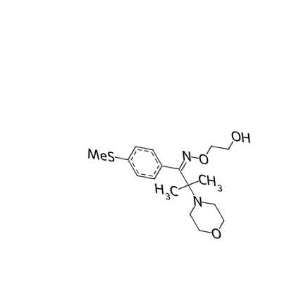 CSc1ccc(C(=NOCCO)C(C)(C)N2CCOCC2)cc1